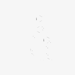 CC(=O)NCC1CCN(Cc2cc(Oc3ccc(N4CCN(C(=O)O)CC4)nc3)nc(-c3cc(F)cc(Cl)c3)c2)CC1